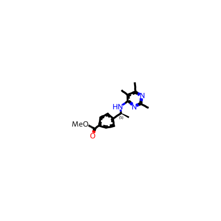 COC(=O)c1ccc([C@H](C)Nc2nc(C)nc(C)c2C)cc1